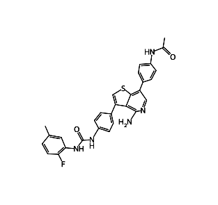 CC(=O)Nc1ccc(-c2cnc(N)c3c(-c4ccc(NC(=O)Nc5cc(C)ccc5F)cc4)csc23)cc1